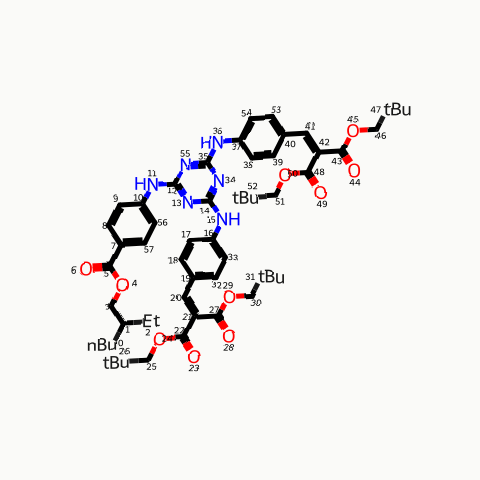 CCCCC(CC)COC(=O)c1ccc(Nc2nc(Nc3ccc(C=C(C(=O)OCC(C)(C)C)C(=O)OCC(C)(C)C)cc3)nc(Nc3ccc(C=C(C(=O)OCC(C)(C)C)C(=O)OCC(C)(C)C)cc3)n2)cc1